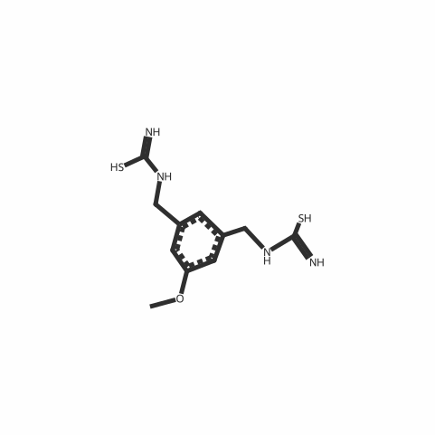 COc1cc(CNC(=N)S)cc(CNC(=N)S)c1